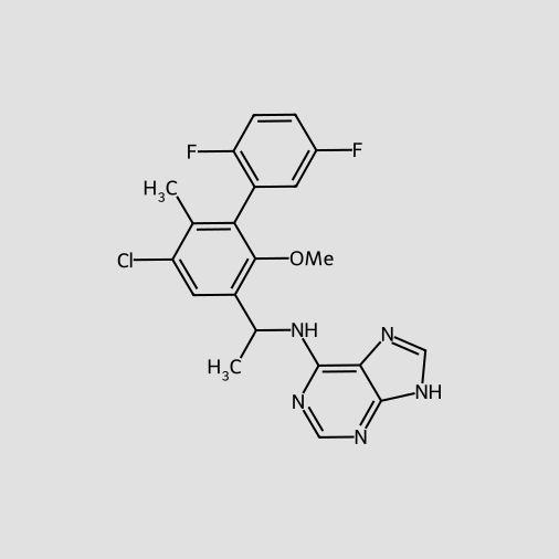 COc1c(C(C)Nc2ncnc3[nH]cnc23)cc(Cl)c(C)c1-c1cc(F)ccc1F